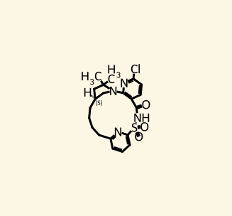 CC1(C)C[C@@H]2CCCCc3cccc(n3)S(=O)(=O)NC(=O)c3ccc(Cl)nc3N1C2